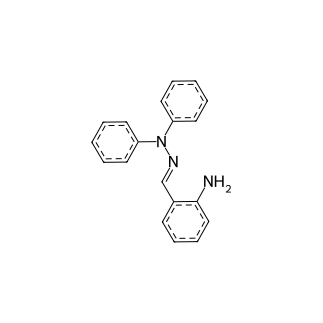 Nc1ccccc1C=NN(c1ccccc1)c1ccccc1